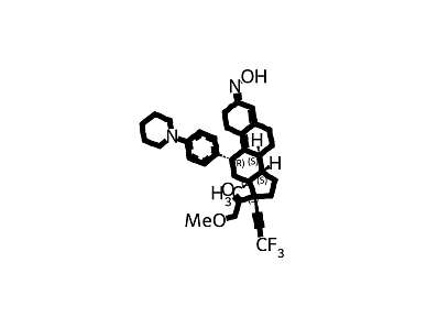 COCC(=O)[C@@]1(C#CC(F)(F)F)CC[C@H]2[C@@H]3CCC4=CC(=NO)CCC4=C3[C@@H](c3ccc(N4CCCCC4)cc3)C[C@@]21C